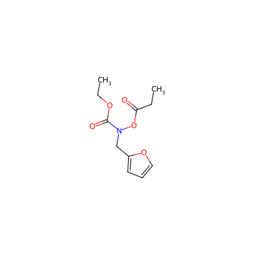 CCOC(=O)N(Cc1ccco1)OC(=O)CC